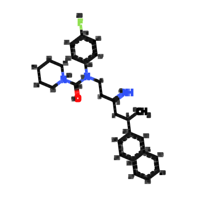 CC(CC(=N)CCN(C(=O)N1CCCCC1)c1ccc(F)cc1)c1ccc2ccccc2c1